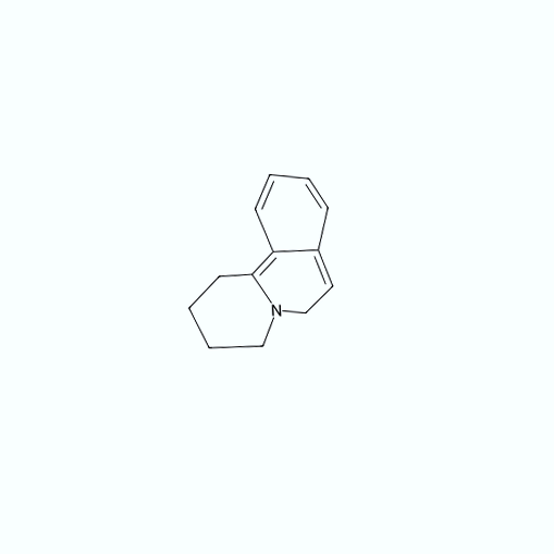 C1=c2ccccc2=C2CCCCN2C1